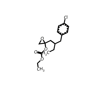 CCOC(=O)OC1(CC(CC)Cc2ccc(Cl)cc2)CO1